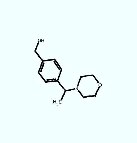 CC(c1ccc(CO)cc1)N1CCOCC1